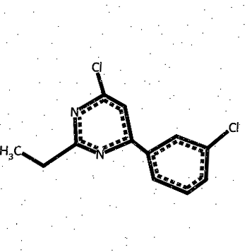 CCc1nc(Cl)cc(-c2cccc(Cl)c2)n1